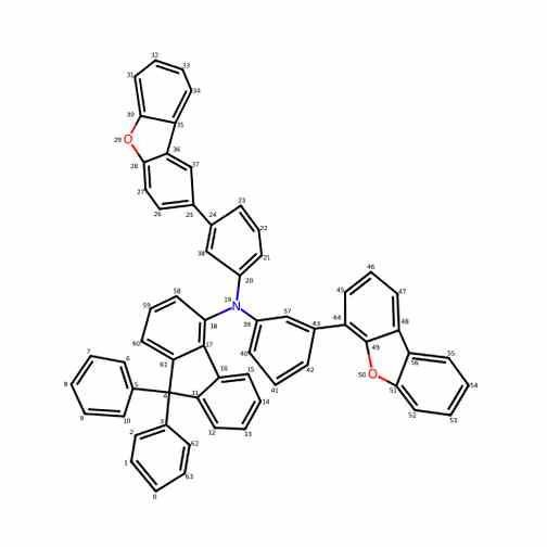 c1ccc(C2(c3ccccc3)c3ccccc3-c3c(N(c4cccc(-c5ccc6oc7ccccc7c6c5)c4)c4cccc(-c5cccc6c5oc5ccccc56)c4)cccc32)cc1